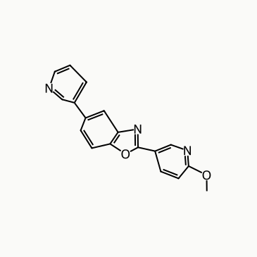 COc1ccc(-c2nc3cc(-c4cccnc4)ccc3o2)cn1